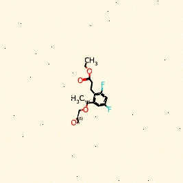 CCOC(=O)CCc1c(F)cc(F)cc1[C@@H](C)OC[C@H]1CO1